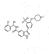 CC(C)C(NC(=O)c1ccc2[nH]nc(-c3ccc(OC4CCN(C)CC4)c(S(C)(=O)=O)c3)c2c1)c1ccccc1Cl